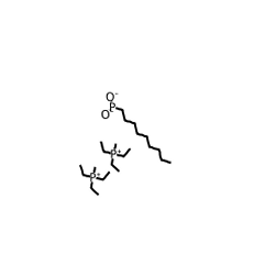 CCCCCCCCCP([O-])[O-].CC[P+](C)(CC)CC.CC[P+](C)(CC)CC